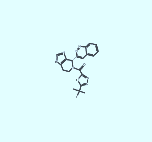 CC(C)(F)c1nnc(C(=O)N2CCc3[nH]cnc3[C@@H]2c2cc3ccccc3nn2)o1